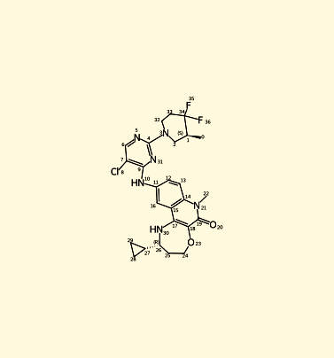 C[C@H]1CN(c2ncc(Cl)c(Nc3ccc4c(c3)c3c(c(=O)n4C)OCC[C@H](C4CC4)N3)n2)CCC1(F)F